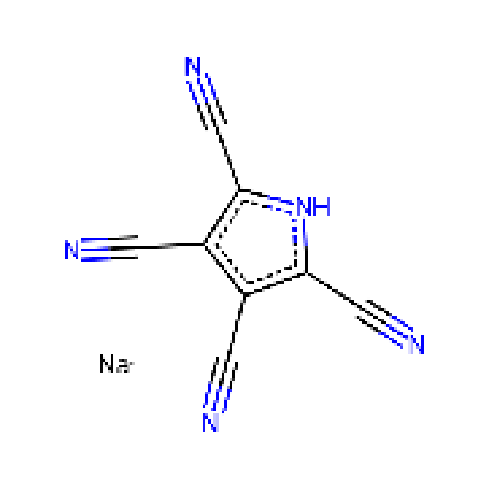 N#Cc1[nH]c(C#N)c(C#N)c1C#N.[Na]